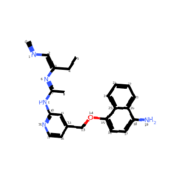 C=N/C=C(CC)\N=C(/C)Nc1cc(COc2ccc(N)c3ccccc23)ccn1